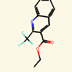 CCOC(=O)c1cc2ccccc2nc1C(F)(F)F